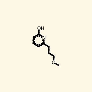 COCCCc1cccc(O)n1